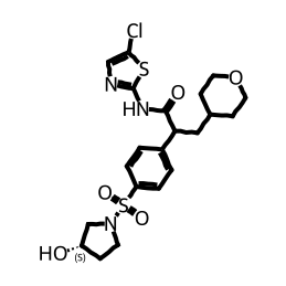 O=C(Nc1ncc(Cl)s1)C(CC1CCOCC1)c1ccc(S(=O)(=O)N2CC[C@H](O)C2)cc1